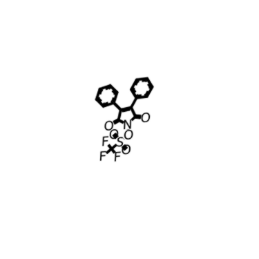 O=C1C(c2ccccc2)=C(c2ccccc2)C(=O)N1OS(=O)(=O)C(F)(F)F